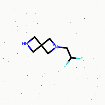 FC(F)CN1CC2(CNC2)C1